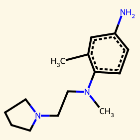 Cc1cc(N)ccc1N(C)CCN1CCCC1